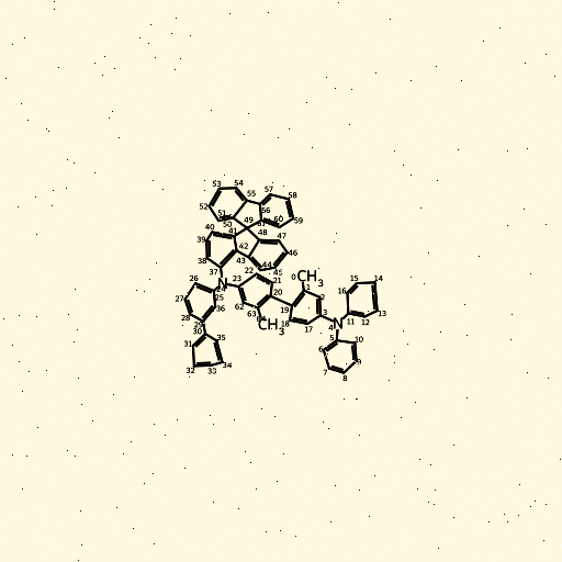 Cc1cc(N(c2ccccc2)c2ccccc2)ccc1-c1ccc(N(c2cccc(-c3ccccc3)c2)c2cccc3c2-c2ccccc2C32c3ccccc3-c3ccccc32)cc1C